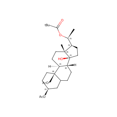 CC(=O)OC[C@]12CC[C@H](OC(C)=O)CC1CC[C@@H]1[C@@H]2CC[C@]2(C)[C@@H]([C@H](C)OC(=O)C(C)(C)C)CC[C@]12O